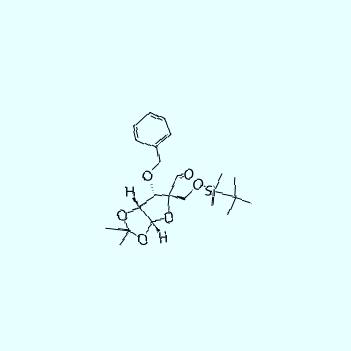 CC1(C)O[C@H]2O[C@](C=O)(CO[Si](C)(C)C(C)(C)C)[C@@H](OCc3ccccc3)[C@H]2O1